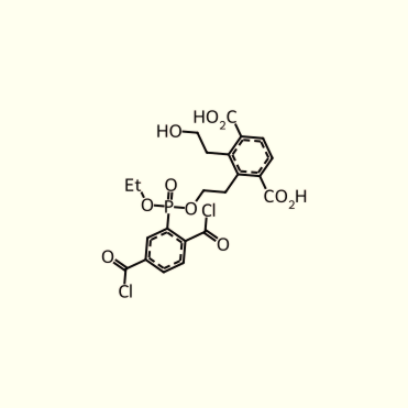 CCOP(=O)(OCCc1c(C(=O)O)ccc(C(=O)O)c1CCO)c1cc(C(=O)Cl)ccc1C(=O)Cl